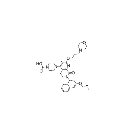 COCOc1cc(N2CCc3c(nc(OCCCN4CCOCC4)nc3N3CCN(C(=O)O)CC3)C2=O)c2ccccc2c1